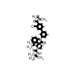 CC(C)[C@@H]1N(C(=S)NC(C)(C)C)CC[C@@]12C(=O)N(c1cccc(-c3ccc(C(=O)N(C)C)c(Cl)c3)c1)c1ccccc12